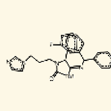 O=C1N/C(=N/C(c2ccccc2)c2ccccc2)C(c2ccccc2F)N1CCCn1ccnc1